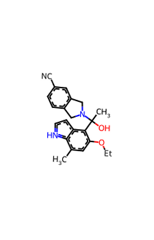 CCOc1cc(C)c2[nH]ccc2c1C(C)(O)N1Cc2ccc(C#N)cc2C1